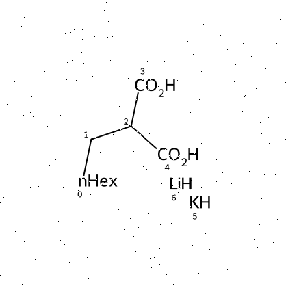 CCCCCCCC(C(=O)O)C(=O)O.[KH].[LiH]